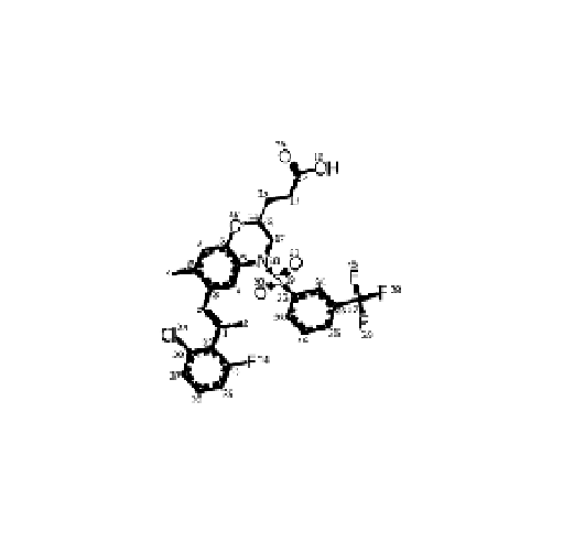 CC(=Cc1cc2c(cc1C)O[C@@H](CCC(=O)O)CN2S(=O)(=O)c1cccc(C(F)(F)F)c1)c1c(F)cccc1Cl